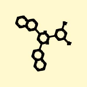 Brc1cc(Br)cc(-c2nc(-c3ccc4ccccc4c3)cc(-c3ccc4ccccc4c3)n2)c1